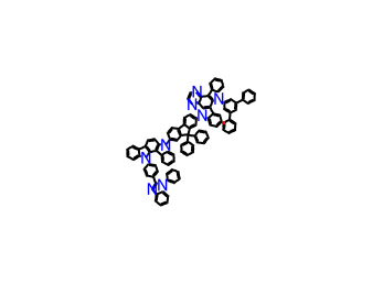 c1ccc(-c2cc(-c3ccccc3)cc(-n3c4ccccc4c4c5nccnc5c5c(c6ccccc6n5-c5ccc6c(c5)C(c5ccccc5)(c5ccccc5)c5cc(-n7c8ccccc8c8c7ccc7c9ccccc9n(-c9ccc(-c%10nc%11ccccc%11n%10-c%10ccccc%10)cc9)c78)ccc5-6)c43)c2)cc1